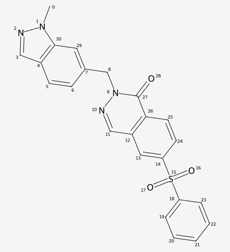 Cn1ncc2ccc(Cn3ncc4cc(S(=O)(=O)c5ccccc5)ccc4c3=O)cc21